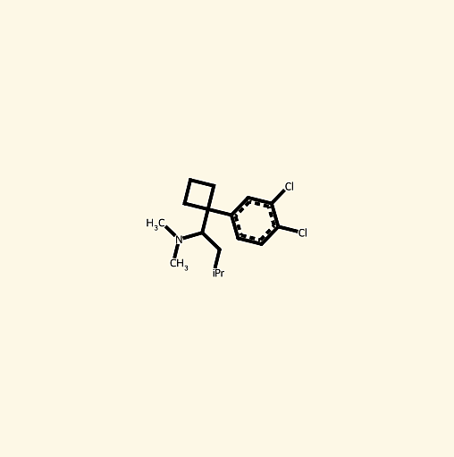 CC(C)CC(N(C)C)C1(c2ccc(Cl)c(Cl)c2)CCC1